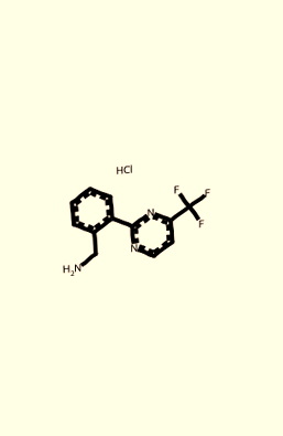 Cl.NCc1ccccc1-c1nccc(C(F)(F)F)n1